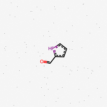 O=Cc1ccc[pH]1